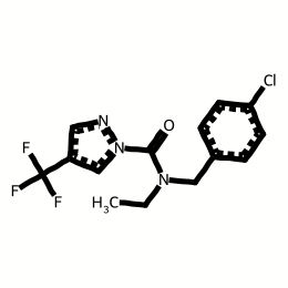 CCN(Cc1ccc(Cl)cc1)C(=O)n1cc(C(F)(F)F)cn1